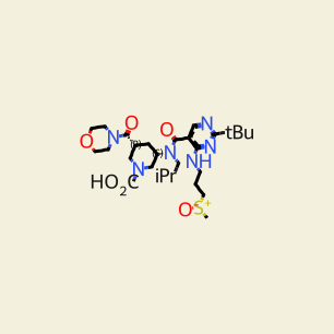 CC(C)CN(C(=O)c1cnc(C(C)(C)C)nc1NCCC[S+](C)[O-])[C@H]1C[C@@H](C(=O)N2CCOCC2)CN(C(=O)O)C1